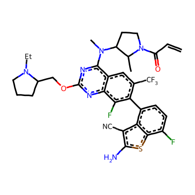 C=CC(=O)N1CCC(N(C)c2nc(OCC3CCCN3CC)nc3c(F)c(-c4ccc(F)c5sc(N)c(C#N)c45)c(C(F)(F)F)cc23)C1C